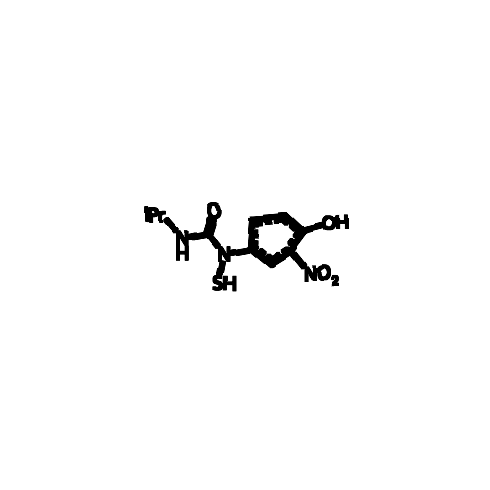 CC(C)NC(=O)N(S)c1ccc(O)c([N+](=O)[O-])c1